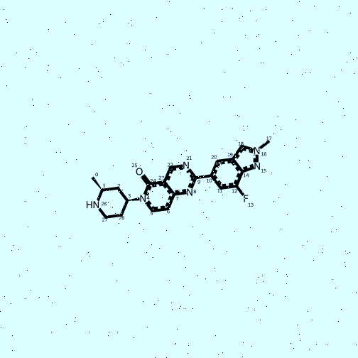 C[C@H]1C[C@@H](n2ccc3nc(-c4cc(F)c5nn(C)cc5c4)ncc3c2=O)CCN1